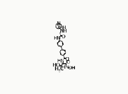 C[C@@H](O)[C@H](NC(=O)c1ccc(-c2ccc(NC(=O)CN[C@@H]3CN4CCC3CC4)cc2)cc1)C(=O)NO